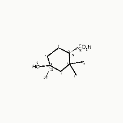 CC1(C)C[C@@](C)(O)CC[C@@H]1C(=O)O